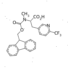 CN(C(=O)OCC1c2ccccc2-c2ccccc21)C(Cc1ccc(C(F)(F)F)nc1)C(=O)O